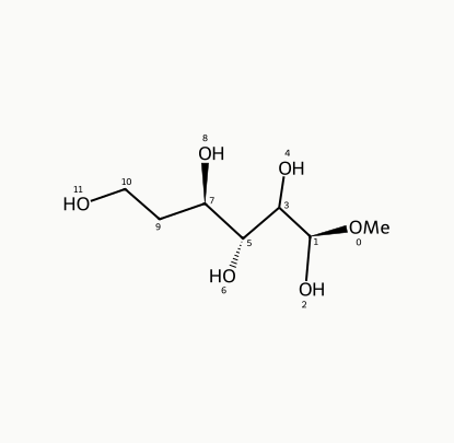 CO[C@@H](O)C(O)[C@H](O)[C@H](O)CCO